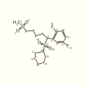 CS(=O)(=O)CCCCC(c1cc(F)ccc1F)S(=O)(=O)C1CCCCC1